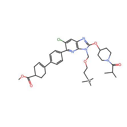 COC(=O)C1CC=C(c2ccc(-c3nc4c(cc3Cl)nc(OC3CCN(C(=O)C(C)C)CC3)n4COCC[Si](C)(C)C)cc2)CC1